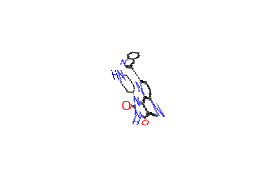 O=c1[nH]c(=O)n(C2CCNCC2)c2c1cnc1ccc(-c3cnc4ccccc4c3)nc12